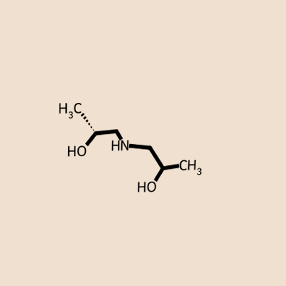 CC(O)CNC[C@@H](C)O